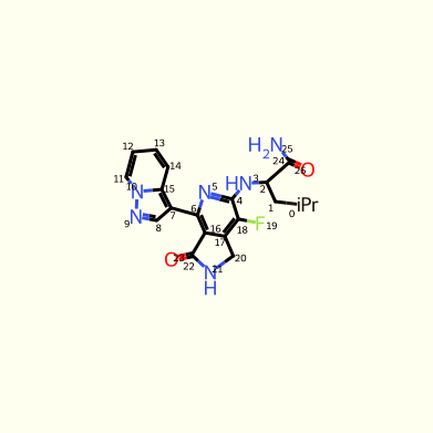 CC(C)CC(Nc1nc(-c2cnn3ccccc23)c2c(c1F)CNC2=O)C(N)=O